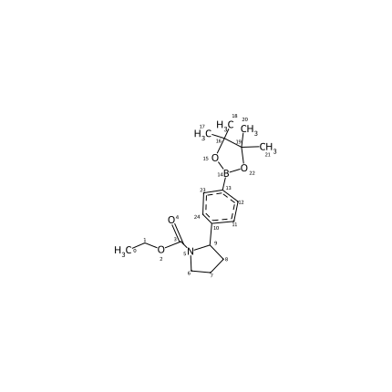 CCOC(=O)N1CCCC1c1ccc(B2OC(C)(C)C(C)(C)O2)cc1